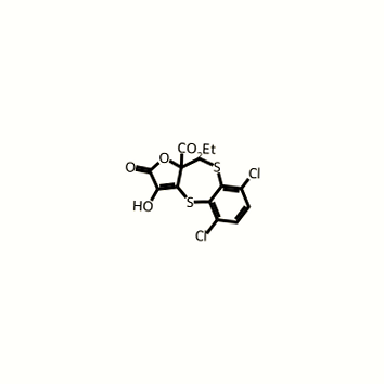 CCOC(=O)C12CSc3c(Cl)ccc(Cl)c3SC1=C(O)C(=O)O2